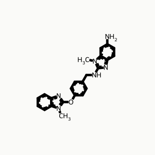 Cn1c(NCc2ccc(Oc3nc4ccccc4n3C)cc2)nc2ccc(N)cc21